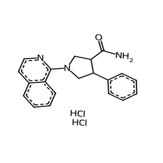 Cl.Cl.NC(=O)C1CN(c2nccc3ccccc23)CC1c1ccccc1